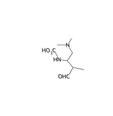 CC(C=O)C(CN(C)C)NC(=O)O